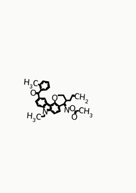 C=CCC1CCOc2c(ccc3c2c2cc(C(=O)c4ccccc4C)ccc2n3CC)/C1=N/OC(C)=O